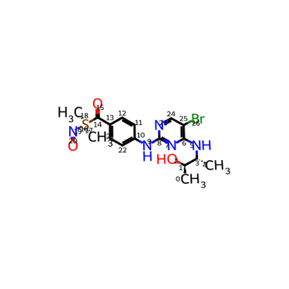 C[C@@H](O)[C@@H](C)Nc1nc(Nc2ccc(C(=O)S(C)(C)N=O)cc2)ncc1Br